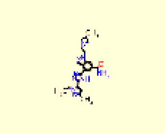 CCn1nc(C)cc1-c1nnc(-c2cc(C(N)=O)cc3c2cnn3CCN2CC(C)C2)[nH]1